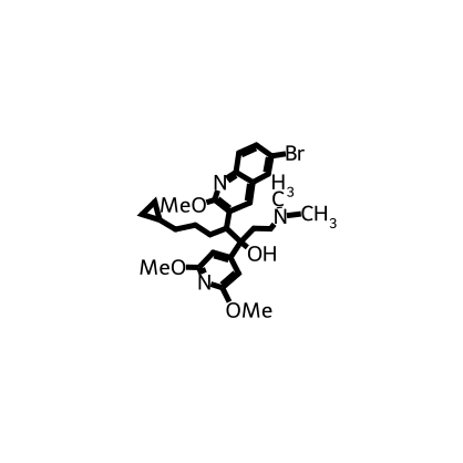 COc1cc(C(O)(CCN(C)C)C(CCCC2CC2)c2cc3cc(Br)ccc3nc2OC)cc(OC)n1